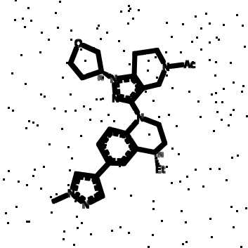 CC[C@H]1CCN(c2nn([C@H]3CCOC3)c3c2CN(C(C)=O)CC3)c2ccc(-c3cnn(C)c3)cc21